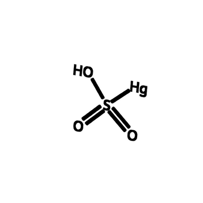 O=[S](=O)(O)[Hg]